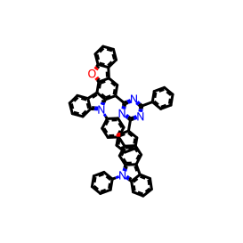 c1ccc(-c2nc(-c3ccccc3)nc(-c3cc4c5ccccc5oc4c4c5ccccc5n(-c5ccc(-c6ccc7c8ccccc8n(-c8ccccc8)c7c6)cc5)c34)n2)cc1